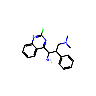 CN(C)CC(c1ccccc1)C(N)c1nc(Cl)nc2ccccc12